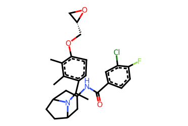 Cc1c(OC[C@@H]2CO2)ccc(C(C)N2C3CCC2CC(NC(=O)c2ccc(F)c(Cl)c2)C3)c1C